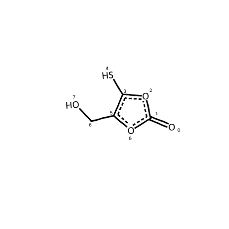 O=c1oc(S)c(CO)o1